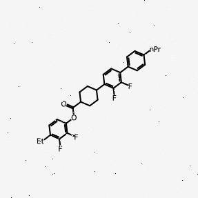 CCCc1ccc(-c2ccc(C3CCC(C(=O)Oc4ccc(CC)c(F)c4F)CC3)c(F)c2F)cc1